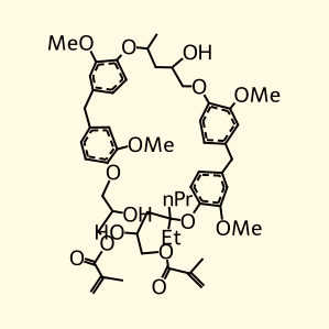 C=C(C)C(=O)OCC(O)COc1ccc(Cc2ccc(OC(C)CC(O)COc3ccc(Cc4ccc(OC(CC)(CCC)CC(O)COC(=O)C(=C)C)c(OC)c4)cc3OC)c(OC)c2)cc1OC